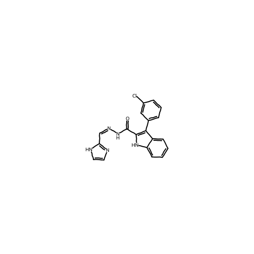 O=C(N/N=C\c1ncc[nH]1)c1[nH]c2ccccc2c1-c1cccc(Cl)c1